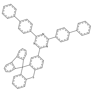 c1ccc(-c2ccc(-c3nc(-c4ccc(-c5ccccc5)cc4)nc(-c4ccc5c(c4)C4(c6ccccc6S5)c5ccccc5-c5ccccc54)n3)cc2)cc1